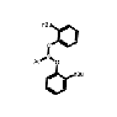 CCCCc1ccccc1ON(Oc1ccccc1CCCC)C(C)=O